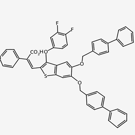 O=C(O)C(=Cc1sc2cc(OCc3ccc(-c4ccccc4)cc3)c(OCc3ccc(-c4ccccc4)cc3)cc2c1Oc1ccc(F)c(F)c1)c1ccncc1